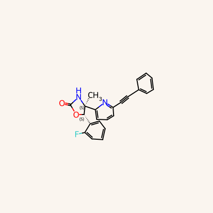 C[C@@]1(c2cccc(C#Cc3ccccc3)n2)NC(=O)O[C@H]1c1ccccc1F